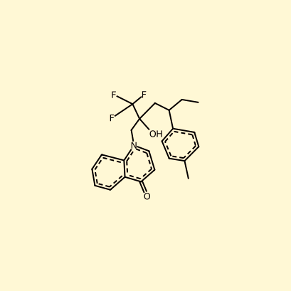 CCC(CC(O)(Cn1ccc(=O)c2ccccc21)C(F)(F)F)c1ccc(C)cc1